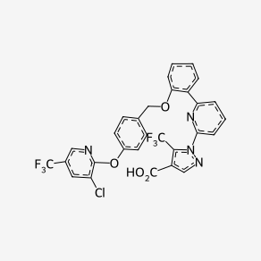 O=C(O)c1cnn(-c2cccc(-c3ccccc3OCc3ccc(Oc4ncc(C(F)(F)F)cc4Cl)cc3)n2)c1C(F)(F)F